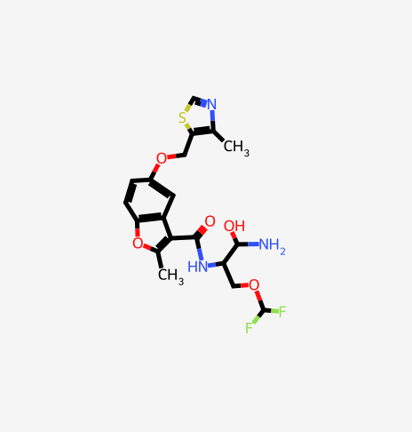 Cc1ncsc1COc1ccc2oc(C)c(C(=O)NC(COC(F)F)C(N)O)c2c1